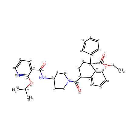 CCOC(=O)[C@@]1(c2ccccc2)CCC(C(=O)N2CCC(NC(=O)c3cccnc3OC(C)C)CC2)c2ccccc21